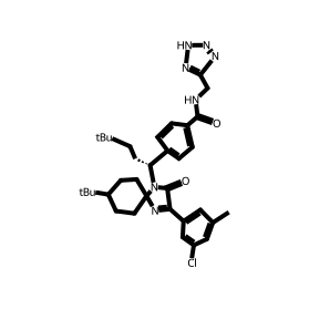 Cc1cc(Cl)cc(C2=NC3(CCC(C(C)(C)C)CC3)N([C@H](CCC(C)(C)C)c3ccc(C(=O)NCc4nn[nH]n4)cc3)C2=O)c1